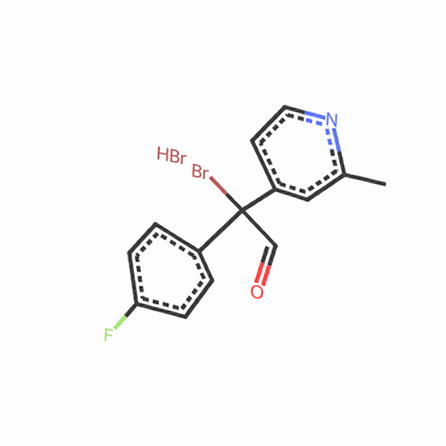 Br.Cc1cc(C(Br)(C=O)c2ccc(F)cc2)ccn1